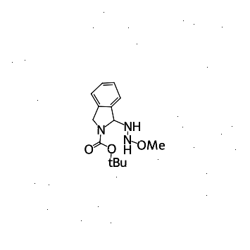 CONNC1c2ccccc2CN1C(=O)OC(C)(C)C